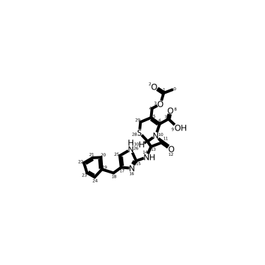 CC(=O)OCC1=C(C(=O)O)N2C(=O)C(Nc3nc(Cc4ccccc4)c[nH]3)[C@@H]2SC1